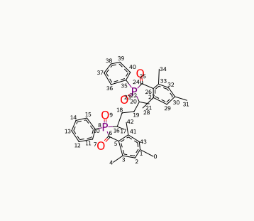 Cc1cc(C)c(C(=O)P(=O)(c2ccccc2)C(C)CCC(C)P(=O)(C(=O)c2c(C)cc(C)cc2C)c2ccccc2)c(C)c1